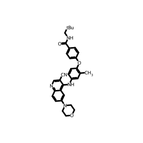 Cc1cc(Nc2c(C#N)cnc3ccc(N4CCOCC4)cc23)ccc1Oc1ccc(C(=O)NCC(C)(C)C)cc1